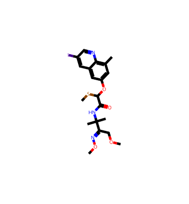 COCC(=NOC)C(C)(C)NC(=O)C(Oc1cc(C)c2ncc(I)cc2c1)SC